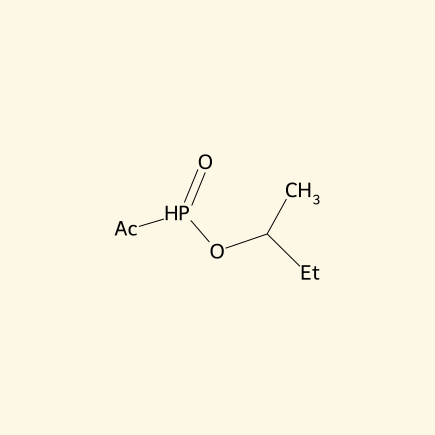 CCC(C)O[PH](=O)C(C)=O